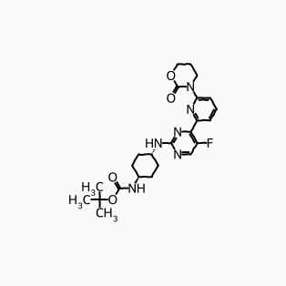 CC(C)(C)OC(=O)N[C@H]1CC[C@H](Nc2ncc(F)c(-c3cccc(N4CCCOC4=O)n3)n2)CC1